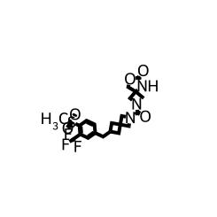 CS(=O)(=O)c1ccc(CC2CC3(C2)CN(C(=O)N2CC4(COC(=O)N4)C2)C3)cc1C(F)(F)F